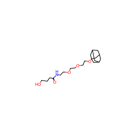 O=C(CCCO)NCCOCCOCCOC12CC3CC(CC(C3)C1)C2